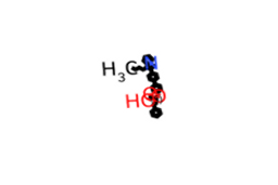 CCCCc1c(-c2ccc(-c3ccc(O[C@@H](CCc4ccccc4)C(=O)O)cc3)cc2)cn2ccccc12